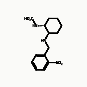 O=C(O)N[C@@H]1CCCC[C@H]1NCc1ccccc1[N+](=O)[O-]